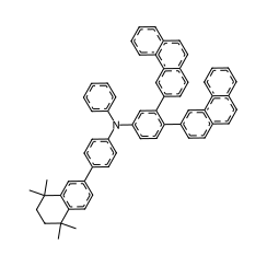 CC1(C)CCC(C)(C)c2cc(-c3ccc(N(c4ccccc4)c4ccc(-c5ccc6ccc7ccccc7c6c5)c(-c5ccc6ccc7ccccc7c6c5)c4)cc3)ccc21